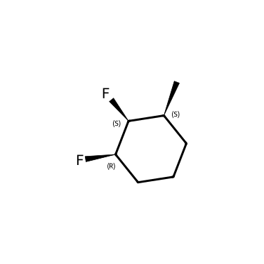 C[C@H]1CCC[C@@H](F)[C@H]1F